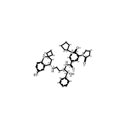 CCc1ccc2c(c1)[C@@H](NCC[C@@H](NC(=O)c1cc(N3CCCC3=O)c(=O)n(C3CCCC3)c1)[C@H](O)c1ccccc1)CC1(CCC1)O2